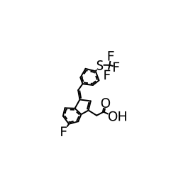 O=C(O)CC1=C/C(=C\c2ccc(SC(F)(F)F)cc2)c2ccc(F)cc21